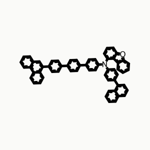 c1ccc2c(-c3ccc(N(c4ccc(-c5ccc(-c6ccc(-c7cc8ccccc8c8ccccc78)cc6)cc5)cc4)c4cccc5oc6ccccc6c45)cc3)cccc2c1